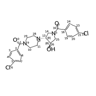 O=C(c1ccc(Cl)cc1)N1CCN([C@@H]2CN(C(=O)c3ccc(Cl)cc3)C[C@H]2O)CC1